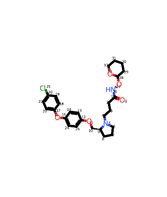 O=C(CCCN1CCC[C@H]1COc1ccc(Oc2ccc(Cl)cc2)cc1)NOC1CCCCO1